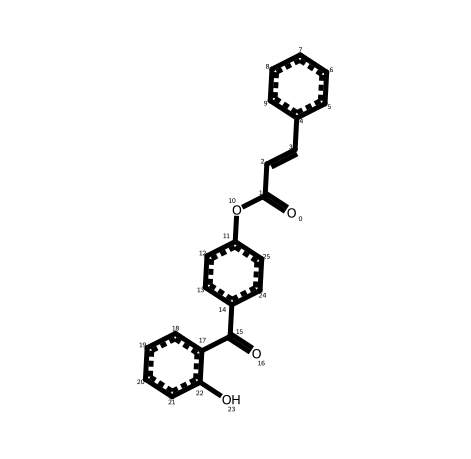 O=C(/C=C/c1ccccc1)Oc1ccc(C(=O)c2ccccc2O)cc1